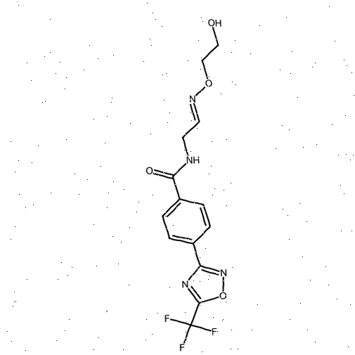 O=C(NC/C=N/OCCO)c1ccc(-c2noc(C(F)(F)F)n2)cc1